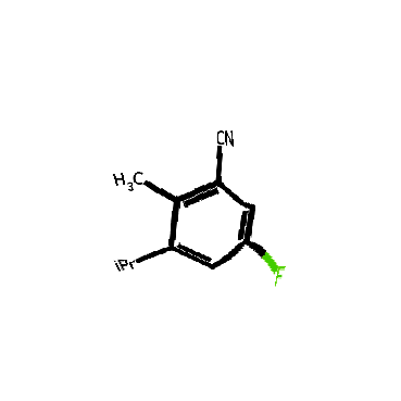 Cc1c(C#N)cc(F)cc1C(C)C